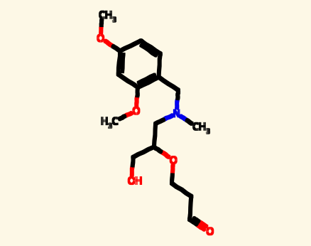 COc1ccc(CN(C)CC(CO)OCCC=O)c(OC)c1